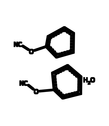 N#COc1ccccc1.N#COc1ccccc1.O